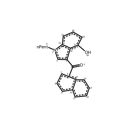 CCCCCn1cc(C(=O)c2cccc3ccccc23)c2c(O)cccc21